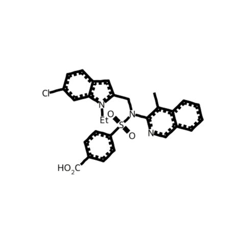 CCn1c(CN(c2ncc3ccccc3c2C)S(=O)(=O)c2ccc(C(=O)O)cc2)cc2ccc(Cl)cc21